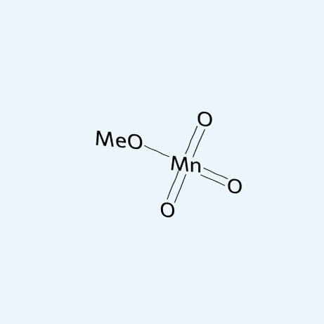 C[O][Mn](=[O])(=[O])=[O]